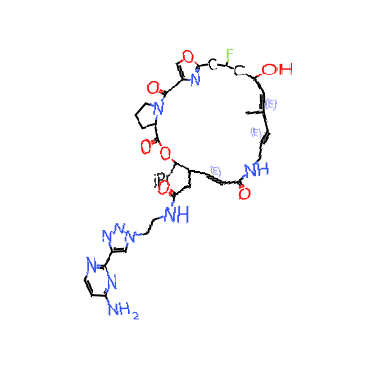 CC1=C\C(O)CC(F)Cc2nc(co2)C(=O)N2CCCC2C(=O)OC(C(C)C)C(CC(=O)NCCn2cc(-c3nccc(N)n3)nn2)/C=C/C(=O)NC\C=C\1